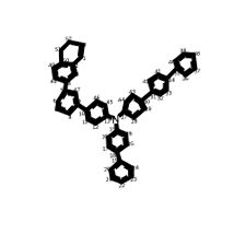 C1=Cc2cc(-c3cccc(-c4ccc(N(c5ccc(-c6ccccc6)cc5)c5ccc(-c6ccc(-c7ccccc7)cc6)cc5)cc4)c3)ccc2CC1